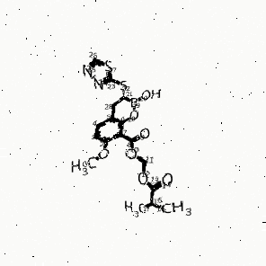 COc1ccc2c(c1C(=O)OCOC(=O)C(C)C)OB(O)[C@@H](Sc1nncs1)C2